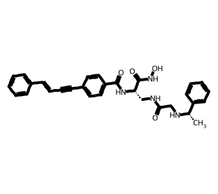 C[C@H](NCC(=O)NC[C@H](NC(=O)c1ccc(C#CC=Cc2ccccc2)cc1)C(=O)NO)c1ccccc1